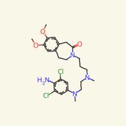 COc1cc2c(cc1OC)CC(=O)N(CCCN(C)CCN(C)c1cc(Cl)c(N)c(Cl)c1)CC2